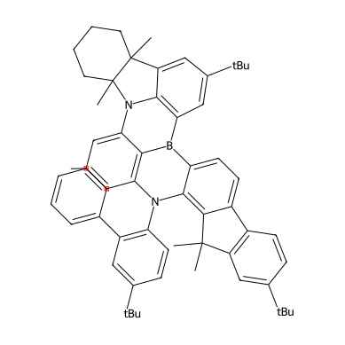 Cc1cc2c3c(c1)N1c4c(cc(C(C)(C)C)cc4C4(C)CCCCC14C)B3c1ccc3c(c1N2c1ccc(C(C)(C)C)cc1-c1ccccc1)C(C)(C)c1cc(C(C)(C)C)ccc1-3